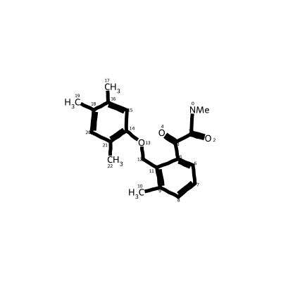 CNC(=O)C(=O)c1cccc(C)c1COc1cc(C)c(C)cc1C